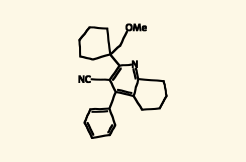 COCC1(c2nc3c(c(-c4ccccc4)c2C#N)CCCC3)CCCCC1